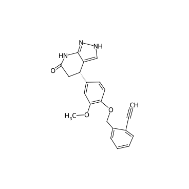 C#Cc1ccccc1COc1ccc([C@@H]2CC(=O)Nc3n[nH]cc32)cc1OC